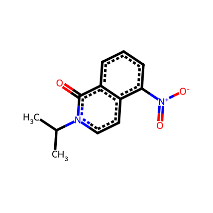 CC(C)n1ccc2c([N+](=O)[O-])cccc2c1=O